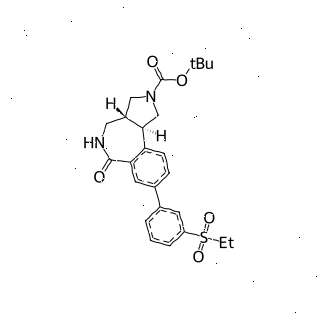 CCS(=O)(=O)c1cccc(-c2ccc3c(c2)C(=O)NC[C@@H]2CN(C(=O)OC(C)(C)C)C[C@@H]32)c1